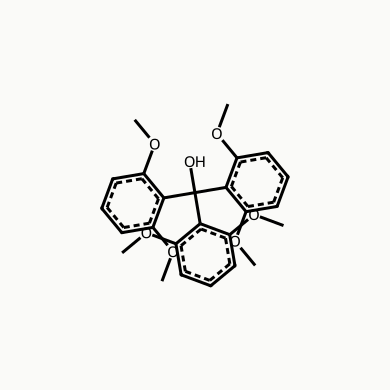 COc1cccc(OC)c1C(O)(c1c(OC)cccc1OC)c1c(OC)cccc1OC